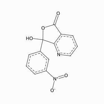 O=C1OC(O)(c2cccc([N+](=O)[O-])c2)c2ncccc21